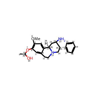 COc1cc2c(cc1O[C@H](C)O)CCN1C[C@@H](c3ccccc3)C(N)C[C@H]21